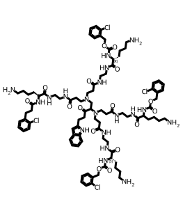 NCCCCC(NC(=O)OCc1ccccc1Cl)C(=O)NCCNC(=O)CCN(CCC(=O)NCCNC(=O)[C@H](CCCCN)NC(=O)OCc1ccccc1Cl)C(CN(CCC(=O)NCCNC(=O)[C@H](CCCCN)NC(=O)CCc1ccccc1Cl)CCC(=O)NCCNC(=O)[C@@H](CCCCN)NC(=O)OCc1ccccc1Cl)C(=O)CCc1cc2ccccc2[nH]1